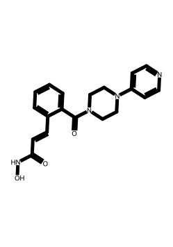 O=C(/C=C/c1ccccc1C(=O)N1CCN(c2ccncc2)CC1)NO